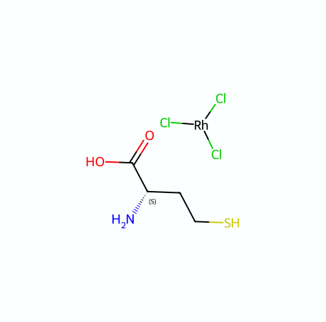 N[C@@H](CCS)C(=O)O.[Cl][Rh]([Cl])[Cl]